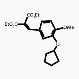 CCOC(=O)C(=Cc1ccc(OC)c(OC2CCCC2)c1)C(=O)OCC